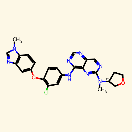 CN(c1ncc2ncnc(Nc3ccc(Oc4ccc5c(c4)ncn5C)c(Cl)c3)c2n1)[C@H]1CCOC1